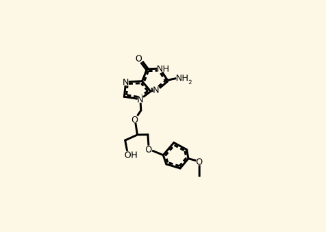 COc1ccc(OCC(CO)OCn2cnc3c(=O)[nH]c(N)nc32)cc1